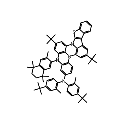 Cc1cc(C(C)(C)C)ccc1N(c1ccc2c(c1)N(c1cc3c(cc1C)C(C)(C)CCC3(C)C)c1cc(C(C)(C)C)cc3c1B2c1cc(C(C)(C)C)cc2c4c5ccccc5sc4n-3c12)c1ccc(C(C)(C)C)cc1C